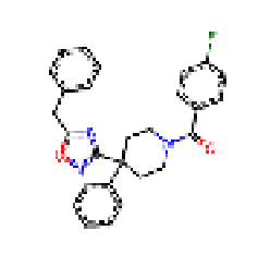 O=C(c1ccc(F)cc1)N1CCC(c2ccccc2)(c2noc(Cc3ccccc3)n2)CC1